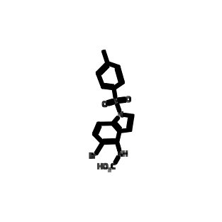 Cc1ccc(S(=O)(=O)n2ccc3c(NC(=O)O)c(Br)ccc32)cc1